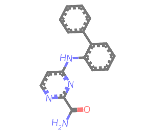 NC(=O)c1nccc(Nc2ccccc2-c2ccccc2)n1